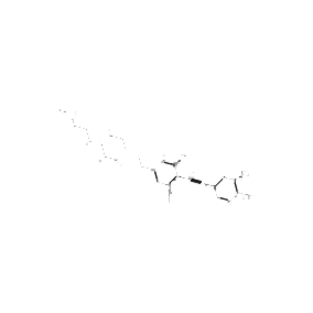 COCCC[C@H]1CC[C@H](CCc2cc(F)c(C#Cc3ccc(F)c(F)c3)c(F)c2)CC1